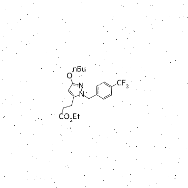 CCCCOc1cc(CCC(=O)OCC)n(Cc2ccc(C(F)(F)F)cc2)n1